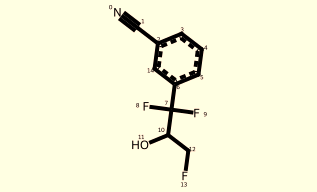 N#Cc1cccc(C(F)(F)C(O)CF)c1